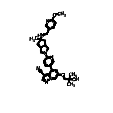 COc1ccc(CNC2(C)CC3CN(c4ccc(-c5cc(OCC(C)(C)O)cn6ncc(C#N)c56)cn4)CC3C2)cn1